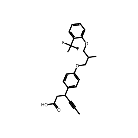 CC#CC(CC(=O)O)c1ccc(OCC(C)COc2ccccc2C(F)(F)F)cc1